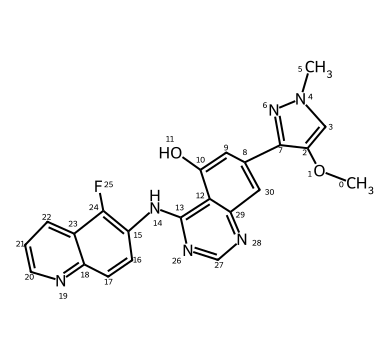 COc1cn(C)nc1-c1cc(O)c2c(Nc3ccc4ncccc4c3F)ncnc2c1